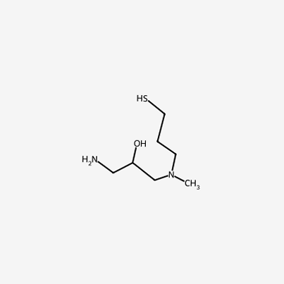 CN(CCCS)CC(O)CN